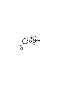 CC(=O)c1ccc(CN2CCNS2(=O)=O)cc1